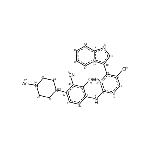 COc1c(Nc2ncc(Cl)c(-c3cnc4ccccn34)n2)ccc(N2CCN(C(C)=O)CC2)c1C#N